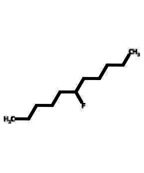 CCCCC[C](F)CCCCC